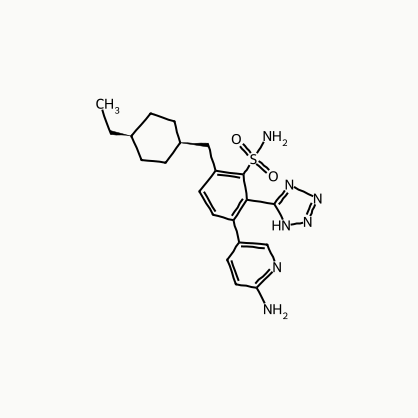 CC[C@H]1CC[C@@H](Cc2ccc(-c3ccc(N)nc3)c(-c3nnn[nH]3)c2S(N)(=O)=O)CC1